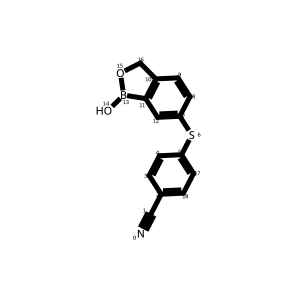 N#Cc1ccc(Sc2ccc3c(c2)B(O)OC3)cc1